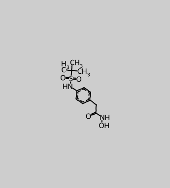 CC(C)(C)S(=O)(=O)Nc1ccc(CC(=O)NO)cc1